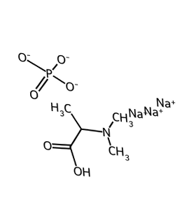 CC(C(=O)O)N(C)C.O=P([O-])([O-])[O-].[Na+].[Na+].[Na+]